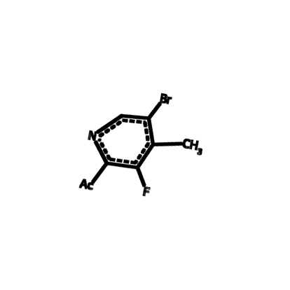 CC(=O)c1ncc(Br)c(C)c1F